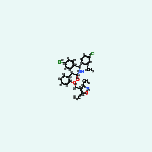 Cc1cc(Cl)ccc1C(NC(=O)Cc1ccccc1OCc1c(C)noc1C)c1ccc(Cl)cc1